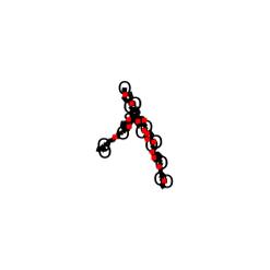 C=CC(=O)OCCCCCCOc1ccc(Sc2nc3cc(OC(=O)C4CCC(C(=O)OCCc5ccc(OCCCCOC(=O)C=C)cc5)CC4)ccc3c3ccc(OC(=O)C4CCC(C=O)CC4)cc23)cc1